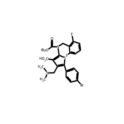 CC(C)COC(=O)N(Cc1c(F)cccc1F)c1sc(-c2ccc(Br)cc2)c(CN(C)C)c1C(=O)O